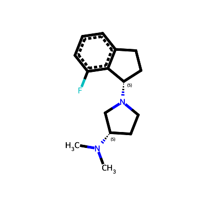 CN(C)[C@H]1CCN([C@H]2CCc3cccc(F)c32)C1